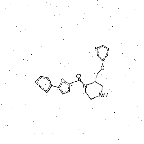 O=C(c1ccc(-c2ccccc2)o1)N1CCNC[C@H]1COc1cccnc1